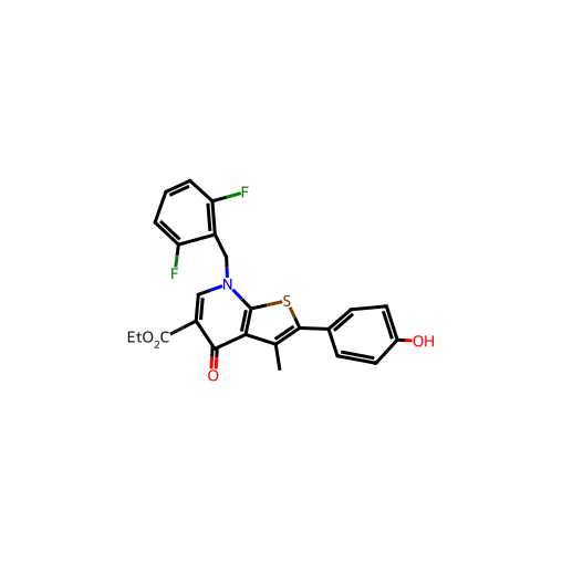 CCOC(=O)c1cn(Cc2c(F)cccc2F)c2sc(-c3ccc(O)cc3)c(C)c2c1=O